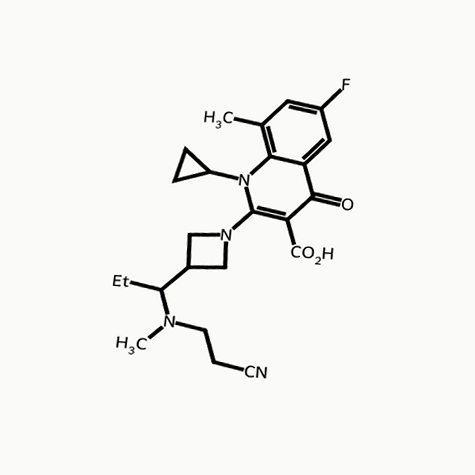 CCC(C1CN(c2c(C(=O)O)c(=O)c3cc(F)cc(C)c3n2C2CC2)C1)N(C)CCC#N